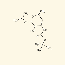 CC(C)O[C@@H]1OC(C)CC(NC(=O)OC(C)(C)C)C1O